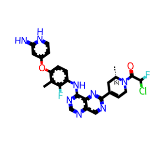 Cc1c(Oc2cc[nH]c(=N)c2)ccc(Nc2ncnc3cnc(C4=CCN(C(=O)C(F)Cl)[C@@H](C)C4)nc23)c1F